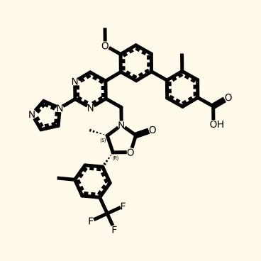 COc1ccc(-c2ccc(C(=O)O)cc2C)cc1-c1cnc(-n2ccnc2)nc1CN1C(=O)O[C@H](c2cc(C)cc(C(F)(F)F)c2)[C@@H]1C